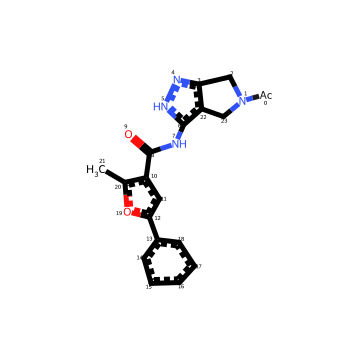 CC(=O)N1Cc2n[nH]c(NC(=O)c3cc(-c4ccccc4)oc3C)c2C1